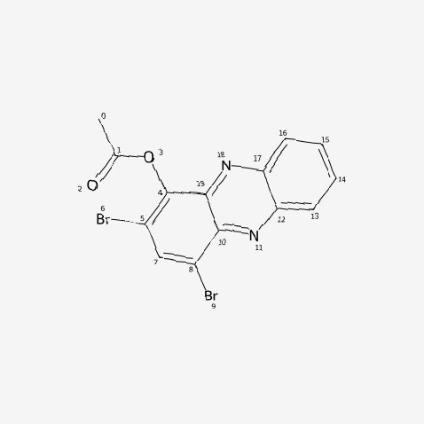 CC(=O)Oc1c(Br)cc(Br)c2nc3ccccc3nc12